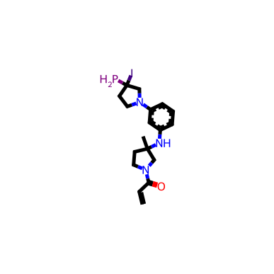 C=CC(=O)N1CCC(C)(Nc2cccc(N3CCC(P)(I)C3)c2)C1